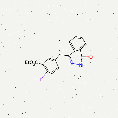 CCOC(=O)c1cc(Cc2n[nH]c(=O)c3ccccc23)ccc1I